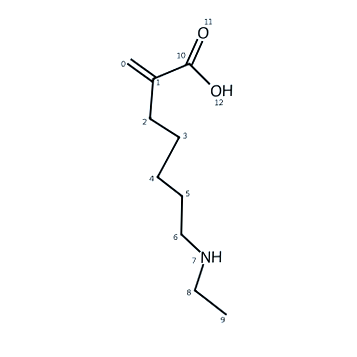 C=C(CCCCCNCC)C(=O)O